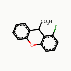 O=C(O)C1c2ccccc2Oc2cccc(F)c21